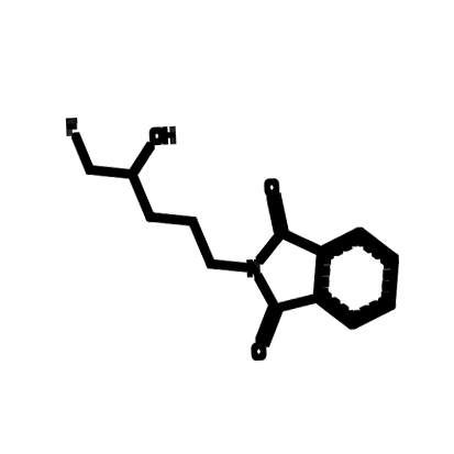 O=C1c2ccccc2C(=O)N1CCCC(O)CF